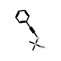 CC(C)(C)[Si](C)(C)OC#Cc1ccccc1